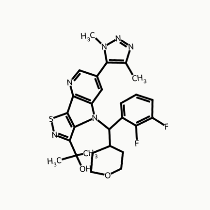 Cc1nnn(C)c1-c1cnc2c3snc(C(C)(C)O)c3n(C(c3cccc(F)c3F)C3CCOCC3)c2c1